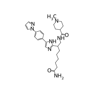 CN1CCC(C(=O)NCC(CCCCCC(N)=O)c2ncc(-c3ccc(-n4cccn4)cc3)[nH]2)CC1